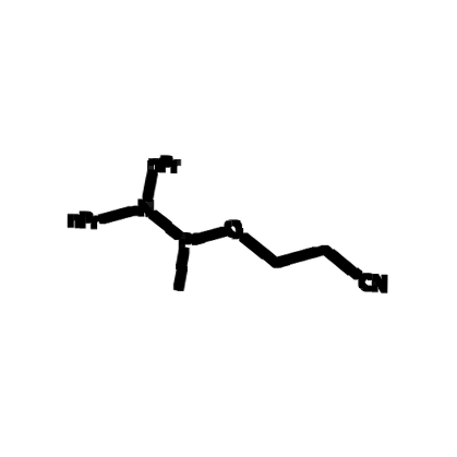 CCCN(CCC)P(C)OCCC#N